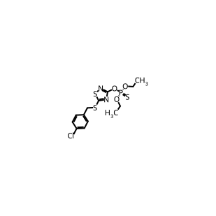 CCOP(=S)(OCC)Oc1nsc(SCc2ccc(Cl)cc2)n1